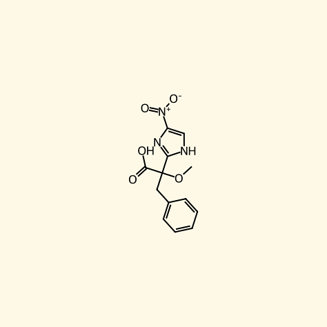 COC(Cc1ccccc1)(C(=O)O)c1nc([N+](=O)[O-])c[nH]1